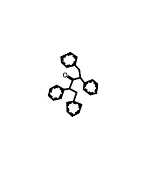 O=C(C(Cc1ccccc1)c1ccccc1)C(Cc1ccccc1)c1ccccc1